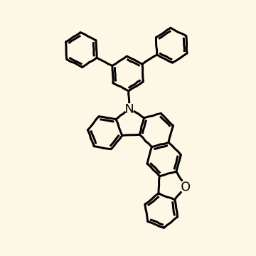 c1ccc(-c2cc(-c3ccccc3)cc(-n3c4ccccc4c4c5cc6c(cc5ccc43)oc3ccccc36)c2)cc1